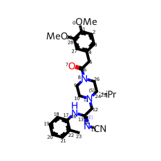 COc1ccc(CC(=O)N2CCN(C/C(=N\C#N)Nc3ccccc3C)[C@@H](C(C)C)C2)cc1OC